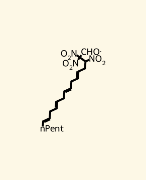 CCCCC/C=C/C/C=C/C/C=C/C/C=C/CC([N+](=O)[O-])C([C]=O)([N+](=O)[O-])[N+](=O)[O-]